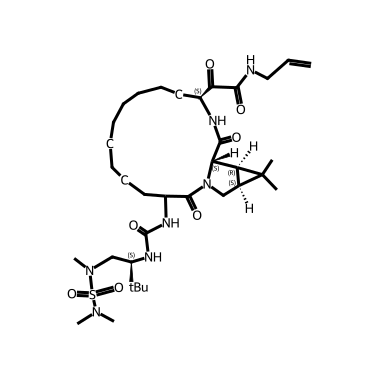 C=CCNC(=O)C(=O)[C@@H]1CCCCCCCCCC(NC(=O)N[C@H](CN(C)S(=O)(=O)N(C)C)C(C)(C)C)C(=O)N2C[C@H]3[C@@H]([C@H]2C(=O)N1)C3(C)C